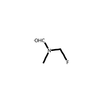 CN([C]=O)CF